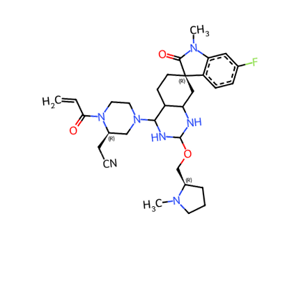 C=CC(=O)N1CCN(C2NC(OC[C@H]3CCCN3C)NC3C[C@@]4(CCC32)C(=O)N(C)c2cc(F)ccc24)C[C@H]1CC#N